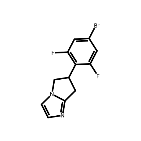 Fc1cc(Br)cc(F)c1C1Cc2nccn2C1